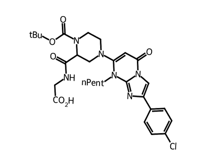 CCCCCn1c(N2CCN(C(=O)OC(C)(C)C)C(C(=O)NCC(=O)O)C2)cc(=O)n2cc(-c3ccc(Cl)cc3)nc12